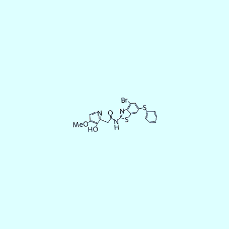 COc1ccnc(CC(=O)Nc2nc3c(Br)cc(Sc4ccccc4)cc3s2)c1O